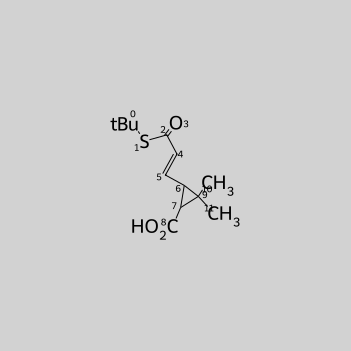 CC(C)(C)SC(=O)C=CC1C(C(=O)O)C1(C)C